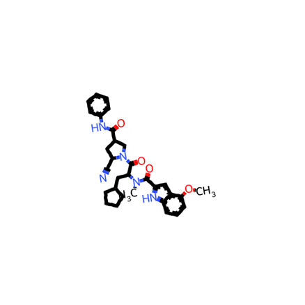 COc1cccc2[nH]c(C(=O)N(C)C(CC3CCCC3)C(=O)N3CC(C(=O)Nc4ccccc4)CC3C#N)cc12